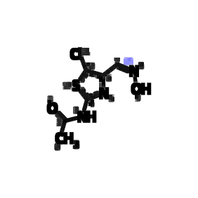 CC(=O)Nc1nc(/C=N\O)c(Cl)s1